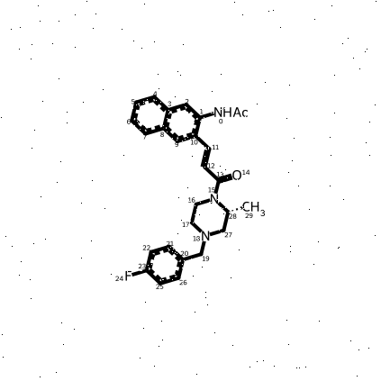 CC(=O)Nc1cc2ccccc2cc1C=CC(=O)N1CCN(Cc2ccc(F)cc2)C[C@H]1C